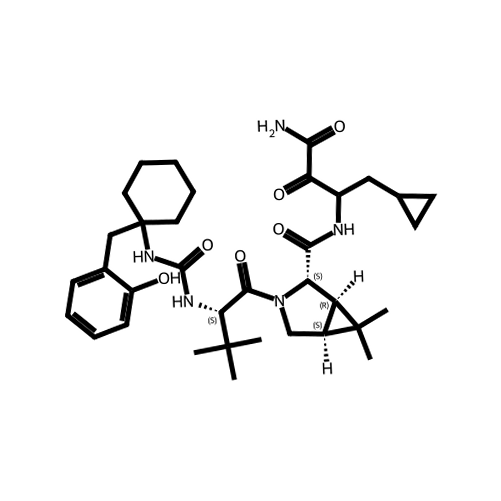 CC(C)(C)[C@H](NC(=O)NC1(Cc2ccccc2O)CCCCC1)C(=O)N1C[C@H]2[C@@H]([C@H]1C(=O)NC(CC1CC1)C(=O)C(N)=O)C2(C)C